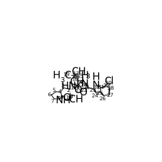 C#C[C@H](C[C@@H]1CCCNC1=O)NC(=O)[C@H](CC(C)(C)C)NC(=O)c1cc2cccc(Cl)c2[nH]1